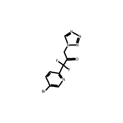 O=C(Cn1cnnn1)C(F)(F)c1ccc(Br)cn1